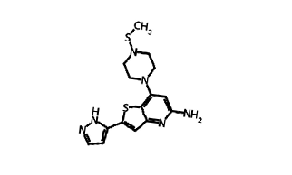 CSN1CCN(c2cc(N)nc3cc(-c4ccn[nH]4)sc23)CC1